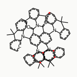 CC(C)c1cccc(C(C)C)c1N1C(=O)c2c(N3c4ccccc4C(C)(C)c4ccccc43)cc(N3c4ccccc4C(C)(C)c4ccccc43)c3c(N4c5ccccc5C(C)(C)c5ccccc54)cc(N4c5ccccc5C(C)(C)c5ccccc54)c(c23)C1=O